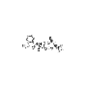 Cc1ccccc1[S+]([O-])NC(=O)c1cc2c(F)cc(N3CCC3)cc2o1